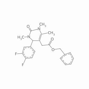 CC1=C(CC(=O)OCc2ccccc2)C(c2ccc(F)c(F)c2)N(C)C(=O)N1C